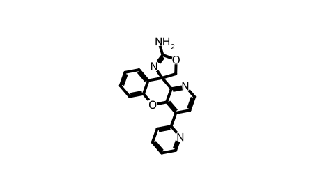 NC1=NC2(CO1)c1ccccc1Oc1c(-c3ccccn3)ccnc12